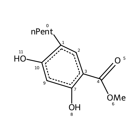 CCCCCc1cc(C(=O)OC)c(O)cc1O